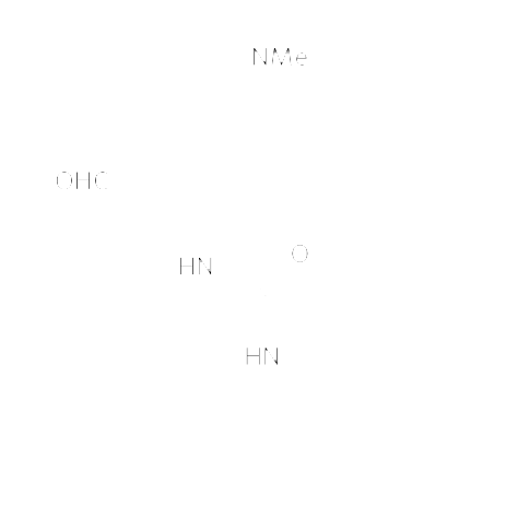 CNCCC(C=O)NC(=O)Nc1ccccc1